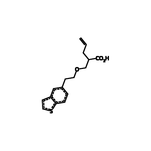 C=CCC(COCCc1ccc2sccc2c1)C(=O)O